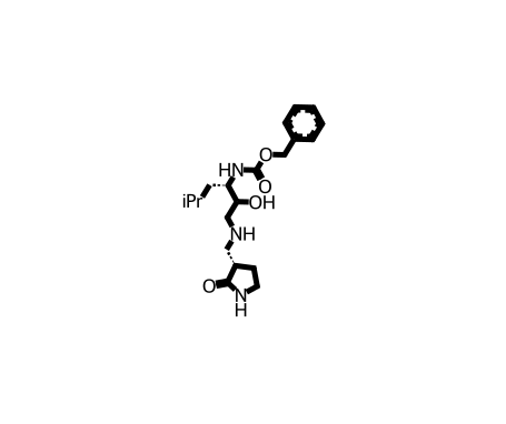 CC(C)C[C@H](NC(=O)OCc1ccccc1)C(O)CNC[C@@H]1CCNC1=O